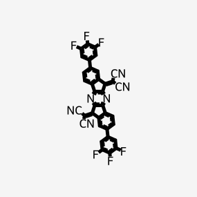 N#CC(C#N)=C1c2cc(-c3cc(F)c(F)c(F)c3)ccc2-c2nc3c(nc21)-c1ccc(-c2cc(F)c(F)c(F)c2)cc1C3=C(C#N)C#N